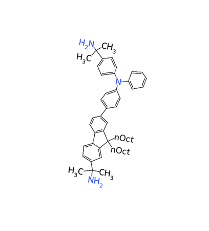 CCCCCCCCC1(CCCCCCCC)c2cc(-c3ccc(N(c4ccccc4)c4ccc(C(C)(C)N)cc4)cc3)ccc2-c2ccc(C(C)(C)N)cc21